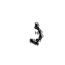 O=C(COc1ccc2c(c1)CCCN2C(=O)CCl)NCCC(=O)N1CCC(Oc2cccc(-c3onc4ccc(-c5nnn[nH]5)cc34)c2)CC1